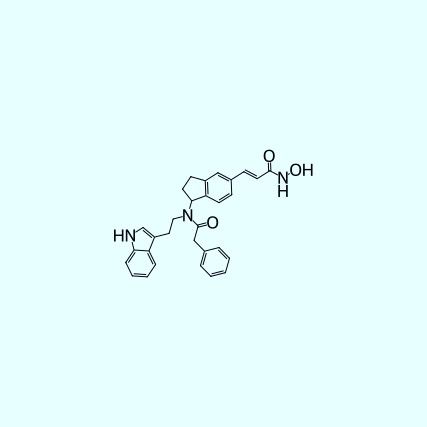 O=C(C=Cc1ccc2c(c1)CCC2N(CCc1c[nH]c2ccccc12)C(=O)Cc1ccccc1)NO